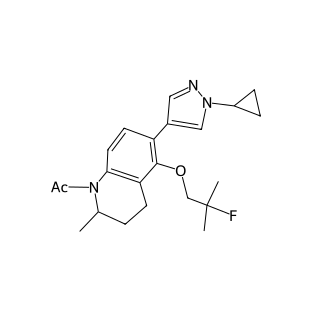 CC(=O)N1c2ccc(-c3cnn(C4CC4)c3)c(OCC(C)(C)F)c2CCC1C